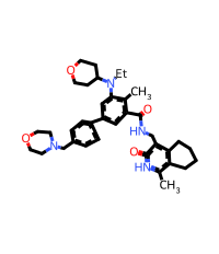 CCN(c1cc(-c2ccc(CN3CCOCC3)cc2)cc(C(=O)NCc2c3c(c(C)[nH]c2=O)CCCC3)c1C)C1CCOCC1